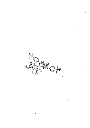 COC(=O)C12CN(C(=O)Nc3ccc(C(F)(F)F)cc3)N=C1c1ccc(C(F)(F)F)cc1N(S(C)(=O)=O)C2